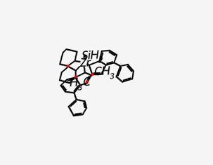 CC1=Cc2c(-c3ccccc3)cccc2[CH]1[Zr](=[SiH2])([CH]1CCCCC1)([CH]1CCCCC1)[CH]1C(C)=Cc2c(-c3ccccc3)cccc21